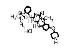 COc1cc(OC2CCNCC2)ccc1Nc1nc(Cl)nc(Nc2ccccc2S(=O)(=O)C(C)C)n1.Cl